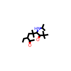 CCC(CC(C)(C)C(NC(C)C)C(=O)C(C)(C)C)C(C)=O